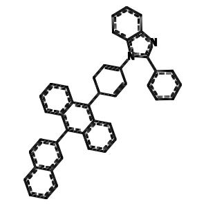 C1=CC(c2c3ccccc3c(-c3ccc4ccccc4c3)c3ccccc23)CC=C1n1c(-c2ccccc2)nc2ccccc21